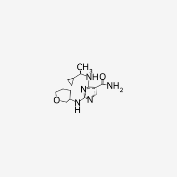 C[C@@H](Nc1nc(NC2CCCOC2)ncc1C(N)=O)C1CC1